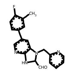 Cc1cc(-c2cnc3c(c2)N(Cc2ccccn2)C(C=O)N3)ccc1F